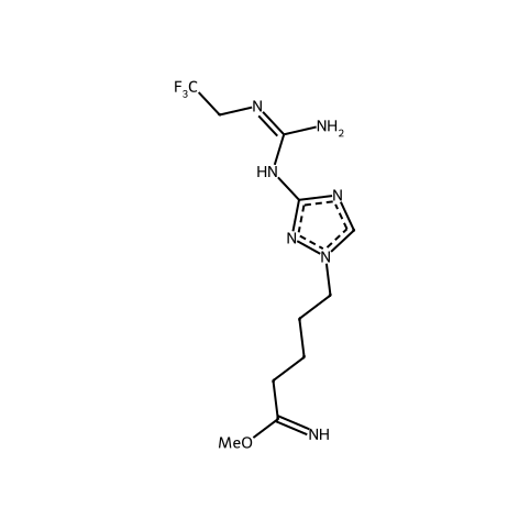 COC(=N)CCCCn1cnc(N/C(N)=N\CC(F)(F)F)n1